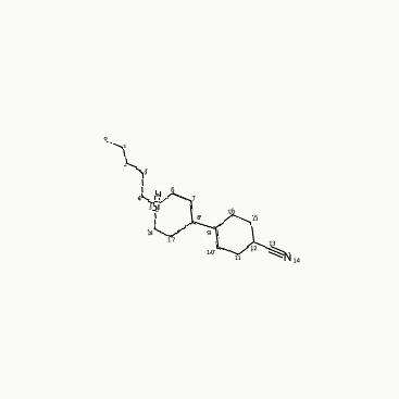 CCCCC[SiH]1CCC(C2CCC(C#N)CC2)CC1